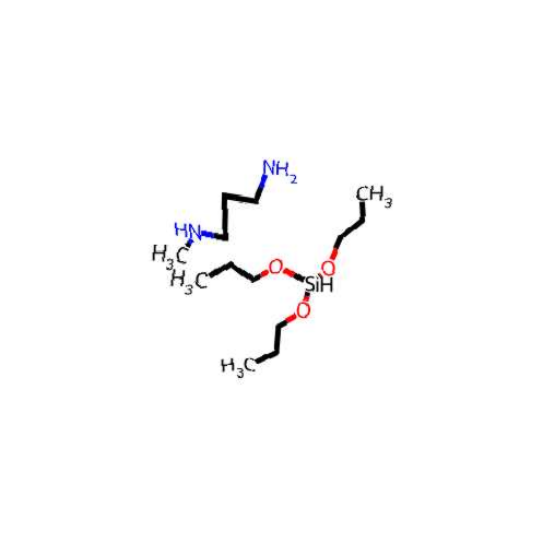 CCCO[SiH](OCCC)OCCC.CNCCCN